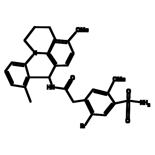 COc1ccc(C(NC(=O)Cc2cc(OC)c(S(N)(=O)=O)cc2Br)c2c(C)cccc2N2CCCCC2)cc1